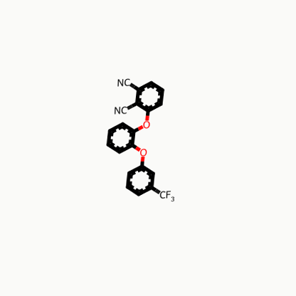 N#Cc1cccc(Oc2ccccc2Oc2cccc(C(F)(F)F)c2)c1C#N